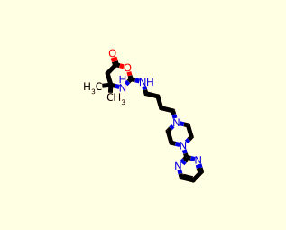 CC1(C)CC(=O)OC(NCCCCN2CCN(c3ncccn3)CC2)N1